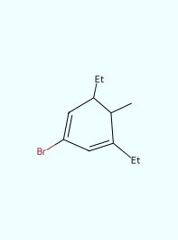 CCC1=CC(Br)=CC(CC)C1C